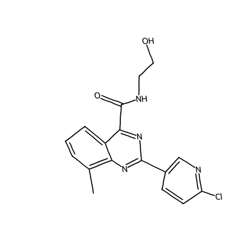 Cc1cccc2c(C(=O)NCCO)nc(-c3ccc(Cl)nc3)nc12